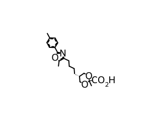 Cc1ccc(-c2nc(CCCC[C@H]3CO[C@](C)(C(=O)O)OC3)c(C)o2)cc1